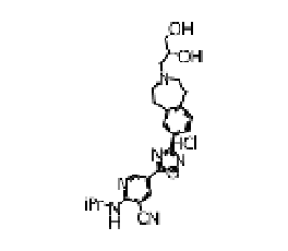 CC(C)Nc1ncc(-c2nc(-c3ccc4c(c3)CCN(C[C@@H](O)CO)CC4)no2)cc1C#N.Cl